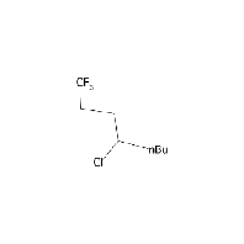 CCCCC(Cl)CCC(F)(F)F